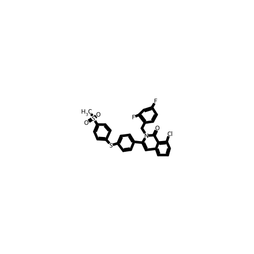 CS(=O)(=O)c1ccc(Sc2ccc(-c3cc4cccc(Cl)c4c(=O)n3Cc3ccc(F)cc3F)cc2)cc1